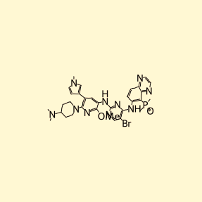 COc1nc(N2CCC(N(C)C)CC2)c(-c2ccn(C)c2)cc1Nc1ncc(Br)c(Nc2ccc3nccnc3c2P(C)(C)=O)n1